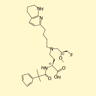 CO[C@H](CF)CN(CCCCc1ccc2c(n1)NCCC2)CC[C@H](NC(=O)C(C)(C)c1ccccc1)C(=O)O